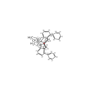 C[CH]=[Zr]([CH3])([CH3])([Cl])([Cl])([CH]1C(C)=Cc2c(-c3ccccc3)cccc21)[CH]1C(C)=Cc2c(-c3ccccc3)cccc21